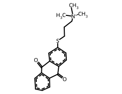 C[N+](C)(C)CCCSc1ccc2c(c1)C(=O)c1ccccc1C2=O